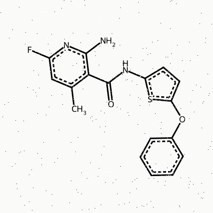 Cc1cc(F)nc(N)c1C(=O)Nc1ccc(Oc2ccccc2)s1